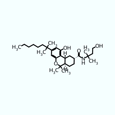 CCCCCCC(C)(C)c1cc(O)c2c(c1)OC(C)(C)[C@@H]1CC[C@@H](C(=O)NC(C)(C)CCO)C[C@@H]21